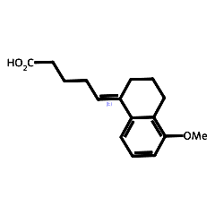 COc1cccc2c1CCC/C2=C\CCCC(=O)O